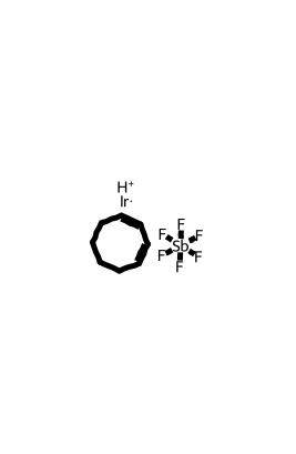 C1=CCCCCC=C1.[F][Sb-]([F])([F])([F])([F])[F].[H+].[Ir]